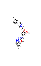 COc1ccc(N2CCN(CCOc3ccc(CNC(=O)Nc4ccc(C)cc4)cc3OC)CC2)cc1